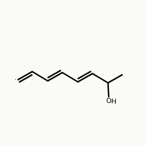 [CH]=CC=CC=CC(C)O